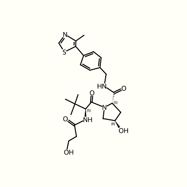 Cc1ncsc1-c1ccc(CNC(=O)[C@@H]2C[C@@H](O)CN2C(=O)[C@@H](NC(=O)CCO)C(C)(C)C)cc1